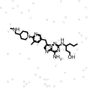 CCCC(CCO)Nc1nc(N)c2ncc(Cc3cnc(N4CCC(CNC)CC4)c(C)c3)n2n1